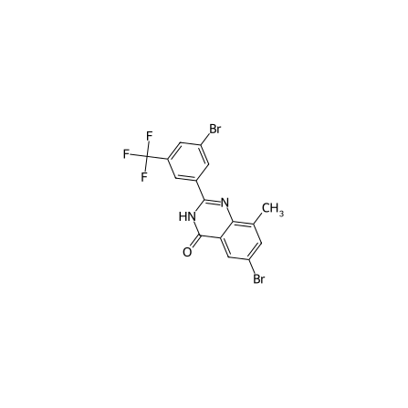 Cc1cc(Br)cc2c(=O)[nH]c(-c3cc(Br)cc(C(F)(F)F)c3)nc12